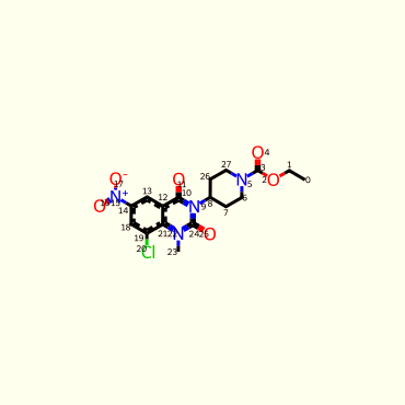 CCOC(=O)N1CCC(n2c(=O)c3cc([N+](=O)[O-])cc(Cl)c3n(C)c2=O)CC1